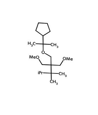 COCC(COC)(COC(C)(C)C1CCCC1)C(C)(C)C(C)C